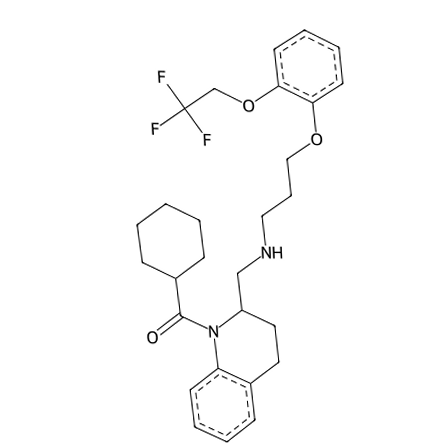 O=C(C1CCCCC1)N1c2ccccc2CCC1CNCCCOc1ccccc1OCC(F)(F)F